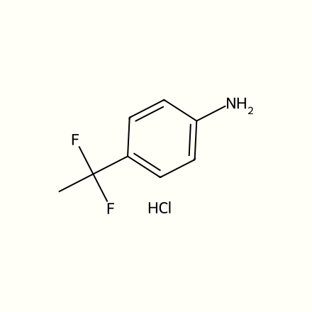 CC(F)(F)c1ccc(N)cc1.Cl